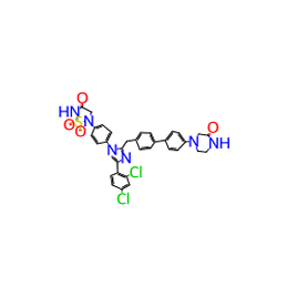 O=C1CN(c2ccc(-c3ccc(Cc4nc(-c5ccc(Cl)cc5Cl)cn4-c4ccc(N5CC(=O)NS5(=O)=O)cc4)cc3)cc2)CCN1